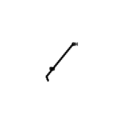 CCCC/C=C\CCCCCCCC(=O)OCCCCCCCCCCCCCCCCCCCCCCCCCCCCCO